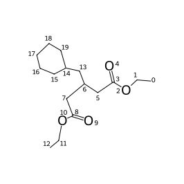 CCOC(=O)CC(CC(=O)OCC)CC1CCCCC1